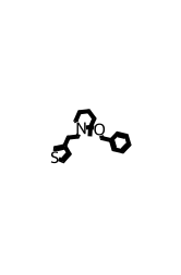 CC1(OCc2ccccc2)CCCCN1CCc1ccsc1